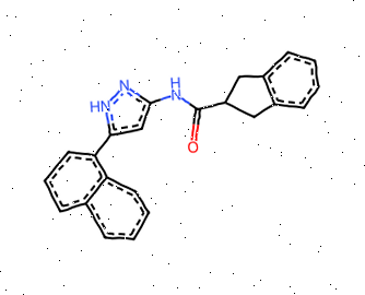 O=C(Nc1cc(-c2cccc3ccccc23)[nH]n1)C1Cc2ccccc2C1